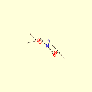 CCCCCCCC(CCCCCCC)COC(=O)C(C)CCCCCCN(CCCCCCC(C)C(=O)OCC(CCCCCCC)CCCCCCC)CCCN(C)C